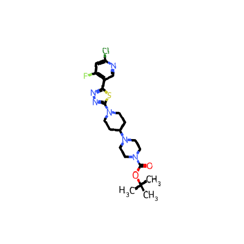 CC(C)(C)OC(=O)N1CCN(C2CCN(c3nnc(-c4cnc(Cl)cc4F)s3)CC2)CC1